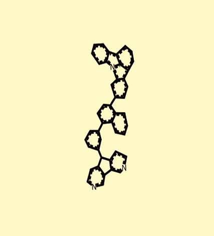 c1cc(-c2ccc(-c3ccc4c5cccc6c7ccccc7n(c4c3)c65)c3ccccc23)cc(C2c3ccncc3-c3cnccc32)c1